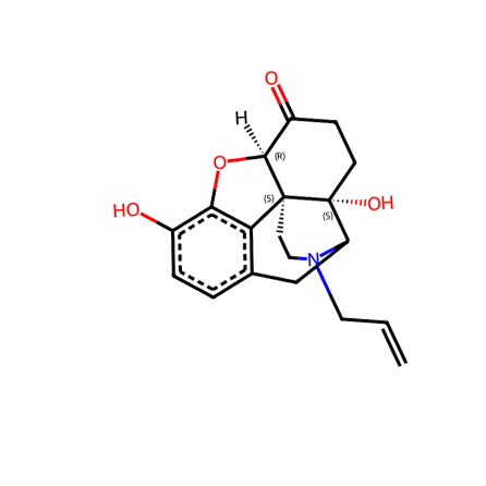 C=CCN1CC[C@]23c4c5ccc(O)c4O[C@H]2C(=O)CC[C@@]3(O)C1C5